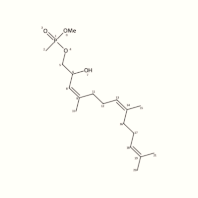 COP(C)(=O)OCC(O)C=C(C)CCC=C(C)CCC=C(C)C